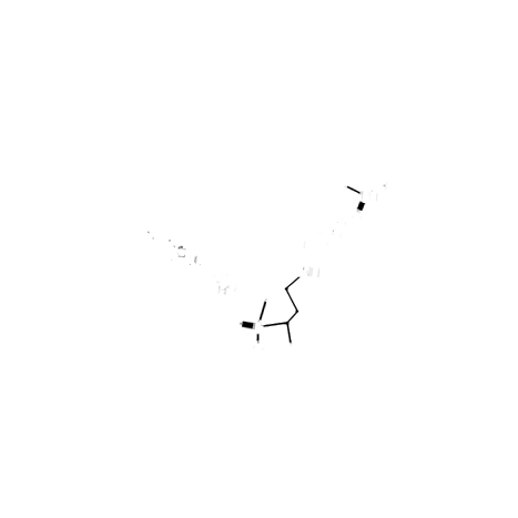 NCCC(O)P(=O)(O)O.O.O.O.O.O.O.O.O.O.O.O=[PH](O)O.[NaH].[NaH]